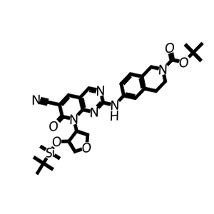 CC(C)(C)OC(=O)N1CCc2cc(Nc3ncc4cc(C#N)c(=O)n(C5COCC5O[Si](C)(C)C(C)(C)C)c4n3)ccc2C1